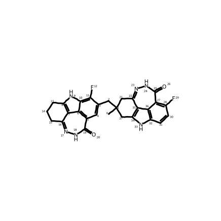 CC1(Cc2cc3c4c5c([nH]c4c2F)CCCC5=NNC3=O)CC2=NNC(=O)c3c(F)ccc4[nH]c(c2c34)C1